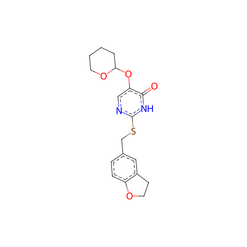 O=c1[nH]c(SCc2ccc3c(c2)CCO3)ncc1OC1CCCCO1